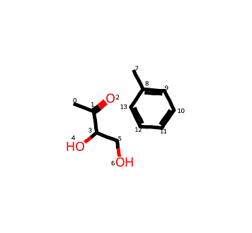 CC(=O)C(O)CO.Cc1ccccc1